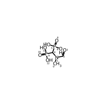 CN(C=O)C(P(=O)(O)O)P(=O)(O)O